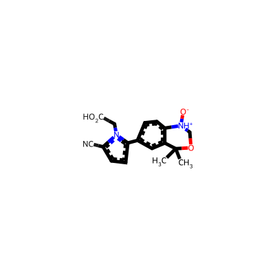 CC1(C)OC[NH+]([O-])c2ccc(-c3ccc(C#N)n3CC(=O)O)cc21